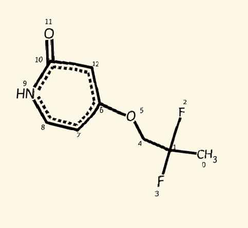 CC(F)(F)COc1cc[nH]c(=O)c1